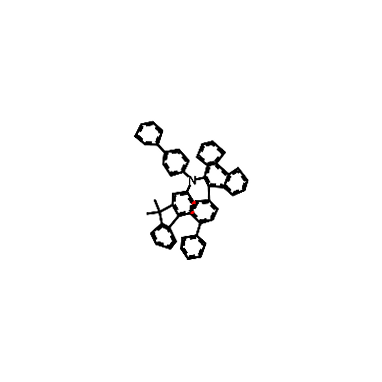 CC1(C)c2ccccc2-c2ccc(N(c3ccc(-c4ccccc4)cc3)c3c(-c4ccc(-c5ccccc5)cc4)c4ccccc4c4ccccc34)cc21